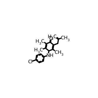 C=C(C)CC1=C(C)C(Nc2ccc(Cl)cc2)C(C)=C(C)C1=O